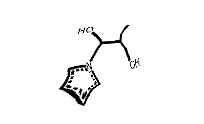 CC(O)C(O)n1cccc1